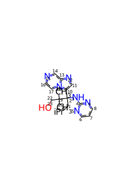 CC(C)CC(Nc1ncccn1)(c1cnc2cnccn12)C(C)(C)CO